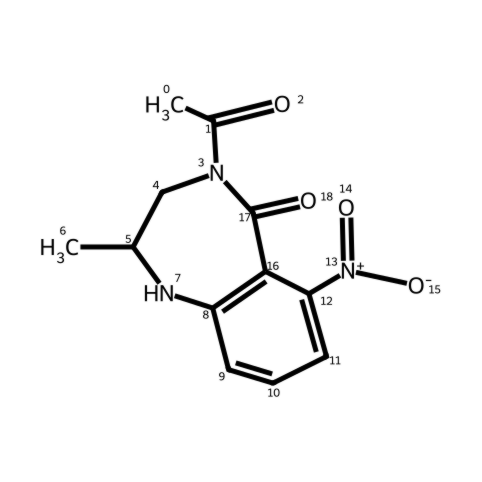 CC(=O)N1CC(C)Nc2cccc([N+](=O)[O-])c2C1=O